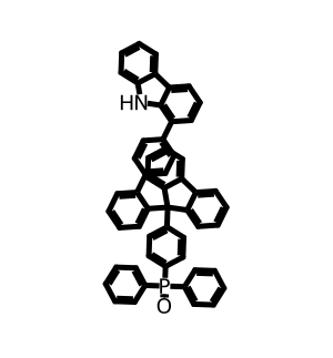 O=P(c1ccccc1)(c1ccccc1)c1ccc(C2(c3ccccc3-c3ccc(-c4cccc5c4[nH]c4ccccc45)cc3)c3ccccc3-c3ccccc32)cc1